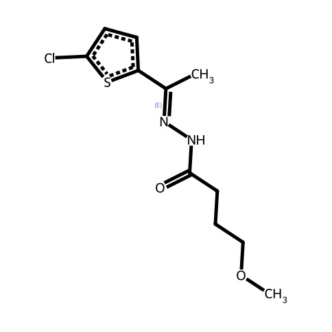 COCCCC(=O)N/N=C(\C)c1ccc(Cl)s1